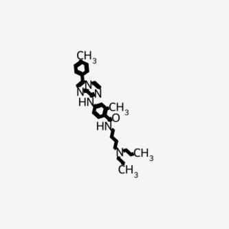 CCCN(CCC)CCCCNC(=O)c1ccc(Nc2nccn3c(-c4ccc(C)cc4)cnc23)cc1C